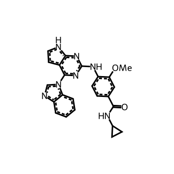 COc1cc(C(=O)NC2CC2)ccc1Nc1nc(-n2cnc3ccccc32)c2cc[nH]c2n1